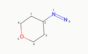 [N]=NC1CCOCC1